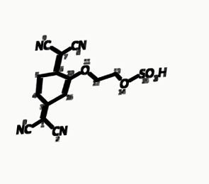 N#CC(C#N)=c1ccc(=C(C#N)C#N)c(OCCOS(=O)(=O)O)c1